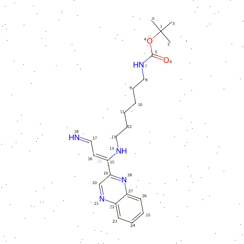 CC(C)(C)OC(=O)NCCCCCCN/C(=C\C=N)c1cnc2ccccc2n1